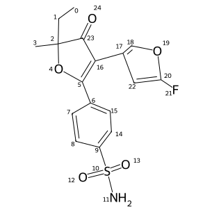 CCC1(C)OC(c2ccc(S(N)(=O)=O)cc2)=C(c2coc(F)c2)C1=O